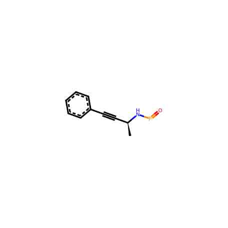 C[C@@H](C#Cc1ccccc1)NP=O